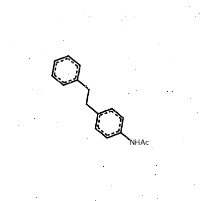 CC(=O)Nc1ccc(CCc2ccccc2)cc1